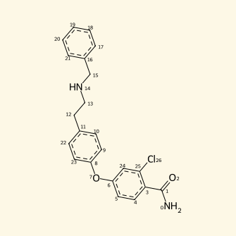 NC(=O)c1ccc(Oc2ccc(CCNCc3ccccc3)cc2)cc1Cl